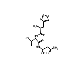 C[C@@H](O)[C@H](NC(=O)[C@@H](N)Cc1c[nH]cn1)C(=O)N[C@@H](CC(N)=O)C(=O)O